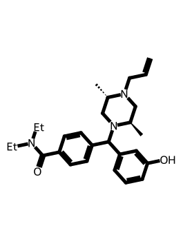 C=CCN1C[C@@H](C)N(C(c2ccc(C(=O)N(CC)CC)cc2)c2cccc(O)c2)C[C@@H]1C